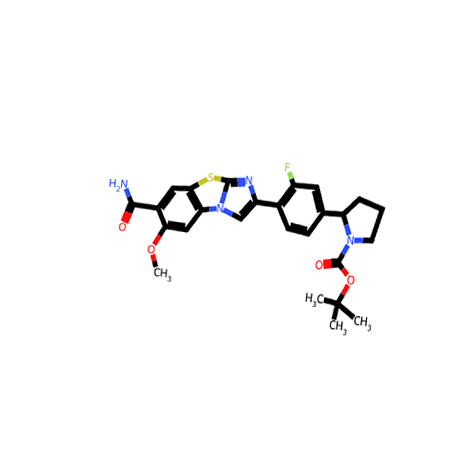 COc1cc2c(cc1C(N)=O)sc1nc(-c3ccc(C4CCCN4C(=O)OC(C)(C)C)cc3F)cn12